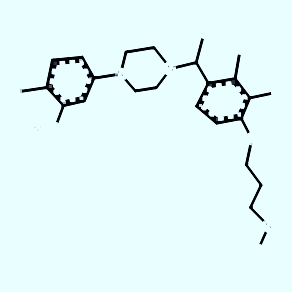 CCNCCCOc1ccc(C(C)N2CCN(c3ccc(Cl)c(OC)c3)CC2)c(C)c1C